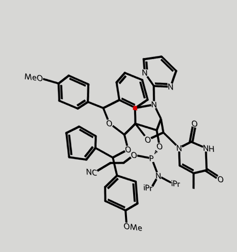 COc1ccc(C(OC(OC(c2ccccc2)c2ccc(OC)cc2)C23CN(c4ncccn4)C(C(n4cc(C)c(=O)[nH]c4=O)O2)C3O[P@@](OCCC#N)N(C(C)C)C(C)C)c2ccccc2)cc1